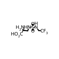 N[C@@H](CNS(=O)(=O)NCC(F)(F)F)C(=O)O